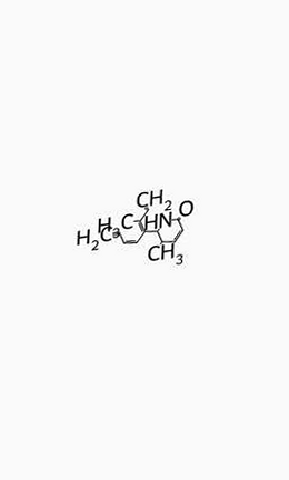 C=C/C=C\C(=C(/C)C=C)C1NC(=O)C=CC1C